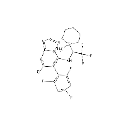 C[Si]1(C(Nc2c(-c3c(F)cc(F)cc3F)c(Cl)nc3ncnn23)C(F)(F)F)CCCCC1